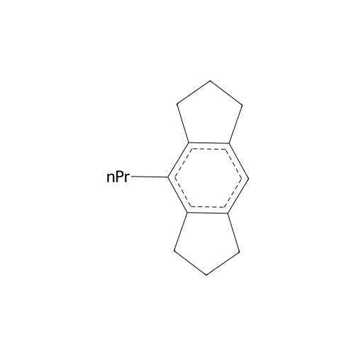 CCCc1c2c(cc3c1CCC3)CCC2